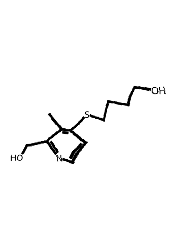 Cc1c(SCCCCO)ccnc1CO